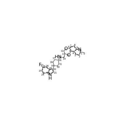 Cc1ccc2c3c(ccc2n1)OC[C@H](CNC1CCC(c2c[nH]c4ccc(F)cc24)CC1)O3